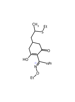 CCC/C(=N\OCC)C1=C(O)CC(CC(C)SCC)CC1=O